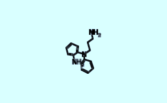 NCCCN(c1ccccc1)c1ccccc1N